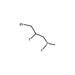 CC(C)CC(F)CP(C)F